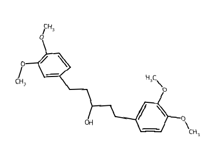 COc1ccc(CCC(O)CCc2ccc(OC)c(OC)c2)cc1OC